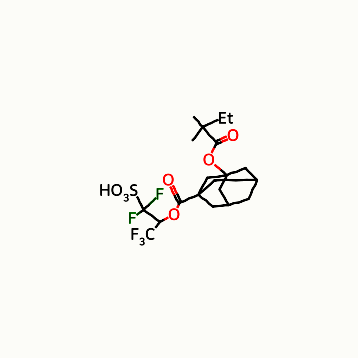 CCC(C)(C)C(=O)OC12CC3CC(C1)CC(C(=O)OC(C(F)(F)F)C(F)(F)S(=O)(=O)O)(C3)C2